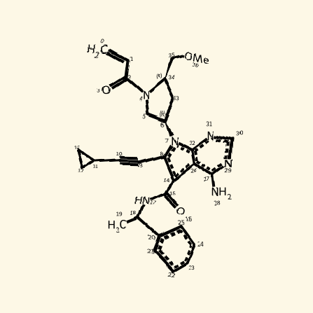 C=CC(=O)N1C[C@H](n2c(C#CC3CC3)c(C(=O)NC(C)c3ccccc3)c3c(N)ncnc32)C[C@@H]1COC